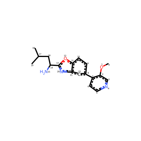 COc1cnccc1-c1ccc2oc(C(N)CC(C)C)nc2c1